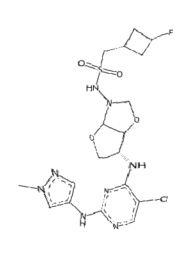 Cn1cc(Nc2ncc(Cl)c(N[C@@H]3COC4C3OCN4NS(=O)(=O)CC3CC(F)C3)n2)cn1